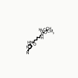 CC(C)(C)OC(=O)NCCCCCC(=O)Nc1ccc(C#N)nc1